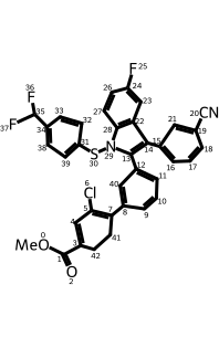 COC(=O)C1=CC(Cl)=C(c2cccc(-c3c(-c4cccc(C#N)c4)c4cc(F)ccc4n3Sc3ccc(C(F)F)cc3)c2)CC1